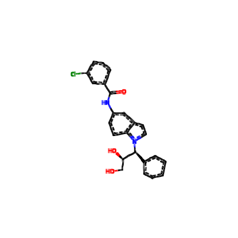 O=C(Nc1ccc2c(ccn2[C@@H](c2ccccc2)[C@H](O)CO)c1)c1cccc(Cl)c1